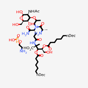 CCCCCCCCCCCCCCCC(=O)OC([C@H](CO)OC(=O)CCCCCCCCCCCCCCC)[C@@](C)(NC(=O)CC[C@H](C(N)=O)N(CC(C)O[C@H]1[C@H](O)[C@@H](CO)O[C@H](O)[C@@H]1NC(C)=O)C(=O)[C@H](C)N)C(=O)O.NCCO[PH](=O)O